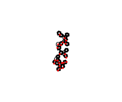 c1ccc(B(c2ccccc2)c2cc(-c3ccc4oc5ccc(-n6c7ccccc7c7cc8c9ccccc9n(-c9ccc%10ccccc%10c9)c8cc76)cc5c4c3)cc(-c3ccc4oc5ccc(-n6c7ccccc7c7ccc8c9ccccc9n(-c9ccc%10ccccc%10c9)c8c76)cc5c4c3)c2)cc1